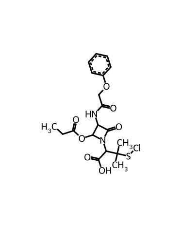 CCC(=O)OC1C(NC(=O)COc2ccccc2)C(=O)N1C(C(=O)O)C(C)(C)SCl